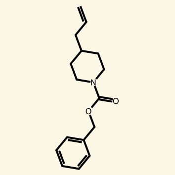 C=CCC1CCN(C(=O)OCc2ccccc2)CC1